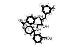 CC(C)(C)c1cccc(C2(NCC(O)C(Cc3cc(F)cc(F)c3)Nc3ccc(C(N)=O)cc3)CCCCC2)c1